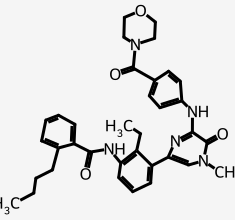 CCCCc1ccccc1C(=O)Nc1cccc(-c2cn(C)c(=O)c(Nc3ccc(C(=O)N4CCOCC4)cc3)n2)c1CC